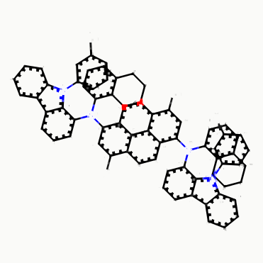 CCCc1cccc(-n2c3ccccc3c3cccc(N(c4cccc5c4CCCC5)c4cc(CCC)c5ccc6c(N(c7cccc8c7CCCC8)c7cccc8c9ccccc9n(-c9cccc(CCC)c9)c78)cc(CCC)c7ccc4c5c76)c32)c1